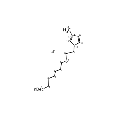 CCCCCCCCCCCCCCCCSCCn1cc[n+](C)c1.[I-]